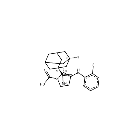 NC(=O)[C@]12CC3CC(C1)C([C@@H]1C(Nc4ncccc4F)CCN1C(=O)O)[C@@H](C3)C2